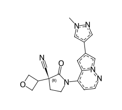 Cn1cc(-c2cc3c(N4CC[C@](C#N)(C5COC5)C4=O)ccnn3c2)cn1